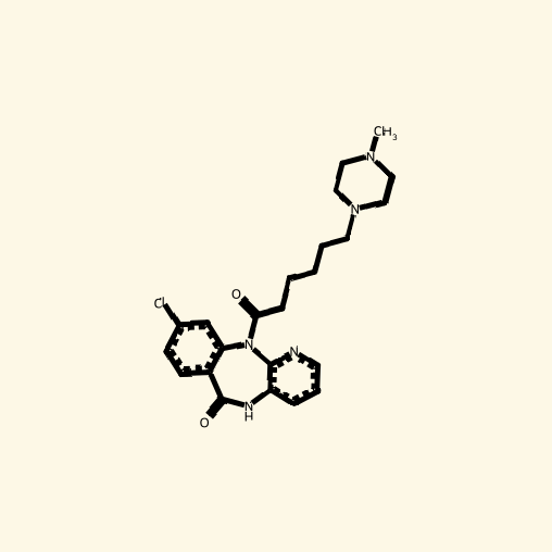 CN1CCN(CCCCCC(=O)N2c3cc(Cl)ccc3C(=O)Nc3cccnc32)CC1